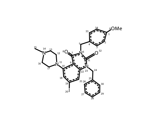 COc1ccc(Cn2c(=O)c3c(N4CCN(C)CC4)cc(I)cc3n(Cc3ccccc3)c2=O)cc1